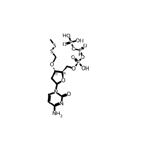 CSSCO[C@H]1CC(n2ccc(N)nc2=O)O[C@@H]1COP(=O)(O)O[PH](=O)OP(=O)(O)O